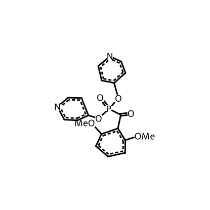 COc1cccc(OC)c1C(=O)P(=O)(Oc1ccncc1)Oc1ccncc1